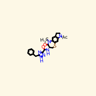 CC(=O)N1CCc2cc3c(cc21)SC[C@H](NC(=O)c1n[nH]c(Cc2ccccc2)n1)C(=O)N3C